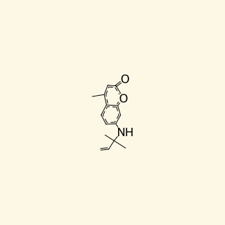 C=CC(C)(C)Nc1ccc2c(C)cc(=O)oc2c1